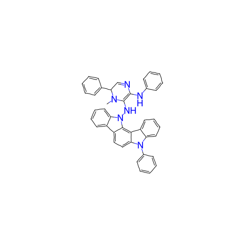 CN1C(Nn2c3ccccc3c3ccc4c(c5ccccc5n4-c4ccccc4)c32)=C(Nc2ccccc2)N=CC1c1ccccc1